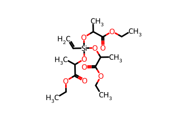 C=C[Si](OC(C)C(=O)OCC)(OC(C)C(=O)OCC)OC(C)C(=O)OCC